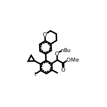 CCCCOC(C(=O)OC)c1c(C)cc(I)c(C2CC2)c1-c1ccc2c(c1)CCCO2